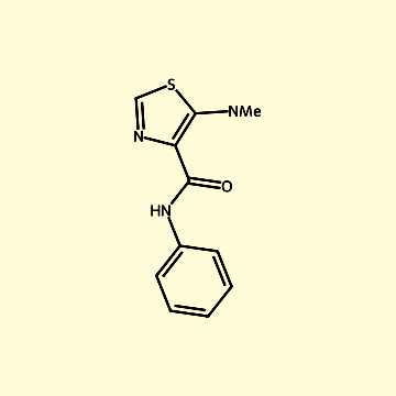 CNc1scnc1C(=O)Nc1ccccc1